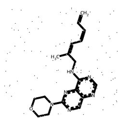 C=C/C=C\C=C(\C)CNc1ncnc2cnc(N3CCOCC3)nc12